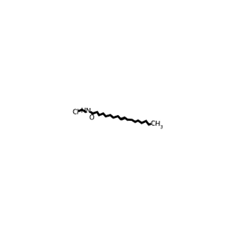 CCCCCCCCC=CCCCCCCCC(=O)NCCCl